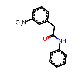 O=C(Cc1cccc([N+](=O)[O-])c1)Nc1ccccc1